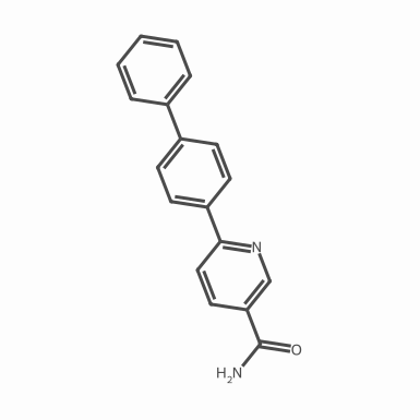 NC(=O)c1ccc(-c2ccc(-c3ccccc3)cc2)nc1